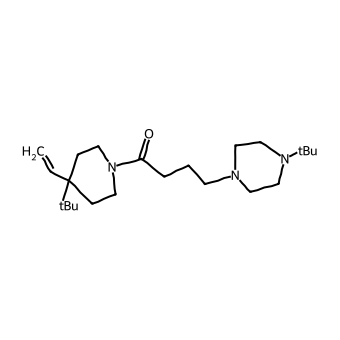 C=CC1(C(C)(C)C)CCN(C(=O)CCCN2CCN(C(C)(C)C)CC2)CC1